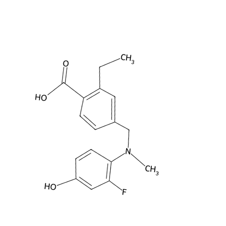 CCc1cc(CN(C)c2ccc(O)cc2F)ccc1C(=O)O